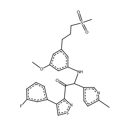 COc1cc(CCCS(C)(=O)=O)cc(NC(C(=O)c2nscc2-c2cccc(F)c2)c2ccc(C)nc2)c1